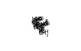 CCN(C(=O)O)c1cccc(OC(=O)Nc2ccc(F)c(F)c2)c1.CCN(C(=O)O)c1cccc(OC(=O)Nc2ccccc2)c1